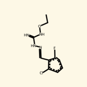 CCONC(=N)NN=Cc1c(F)cccc1Cl